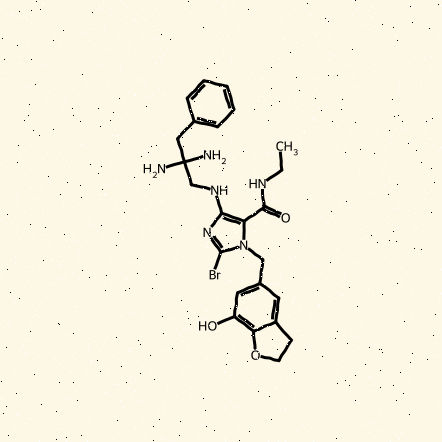 CCNC(=O)c1c(NCC(N)(N)Cc2ccccc2)nc(Br)n1Cc1cc(O)c2c(c1)CCO2